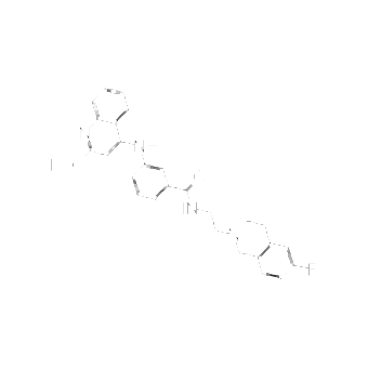 Cc1cc(Nc2cccc(C(=O)NCCN3CCc4cc(F)ccc4C3)c2)c2ccccc2n1